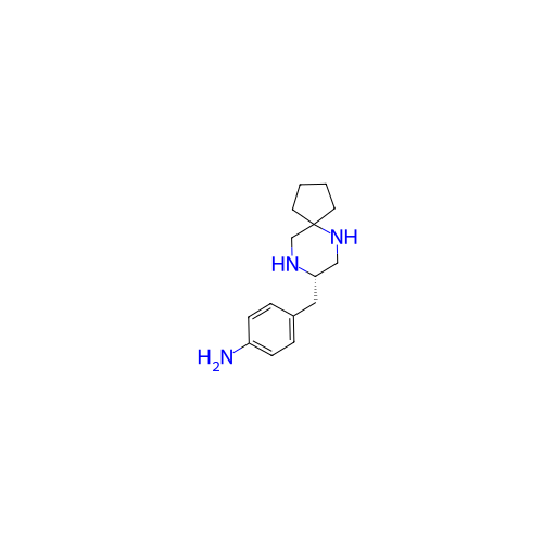 Nc1ccc(C[C@H]2CNC3(CCCC3)CN2)cc1